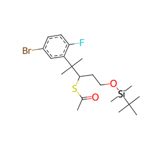 CC(=O)SC(CCO[Si](C)(C)C(C)(C)C)C(C)(C)c1cc(Br)ccc1F